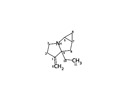 C=C1CCN2C3CC3CC12CC